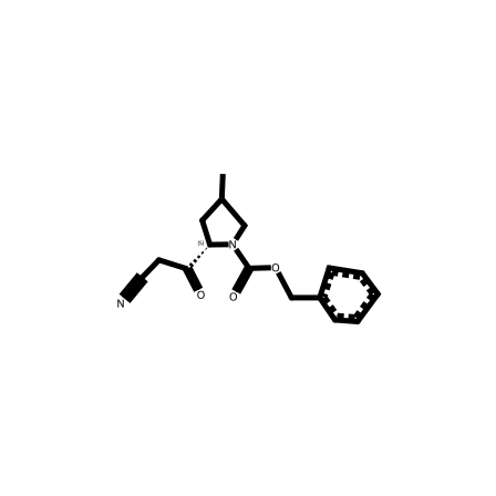 CC1C[C@@H](C(=O)CC#N)N(C(=O)OCc2ccccc2)C1